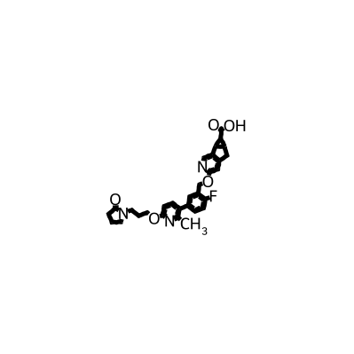 Cc1nc(OCCCN2CCCC2=O)ccc1-c1ccc(F)c(COc2cc3c(cn2)C2C(C3)C2C(=O)O)c1